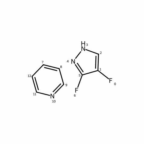 Fc1c[nH]nc1F.c1ccncc1